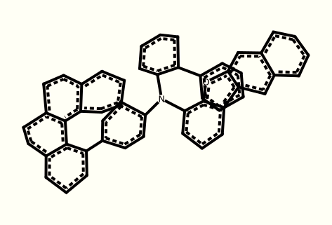 c1ccc(-c2ccccc2N(c2ccc(-c3cccc4ccc5ccc6ccccc6c5c34)cc2)c2cccc3c2oc2cc4ccccc4cc23)cc1